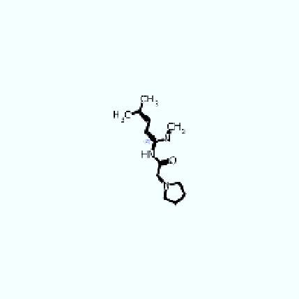 C=N/C(=C\C=C(C)C)NC(=O)CN1CCCC1